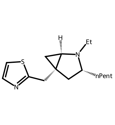 CCCCC[C@@H]1C[C@@]2(Cc3nccs3)C[C@H]2N1CC